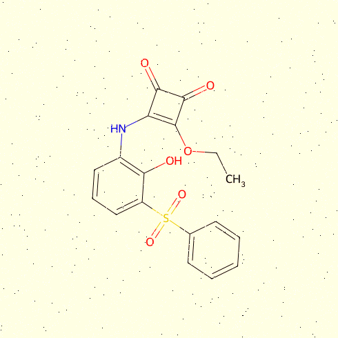 CCOc1c(Nc2cccc(S(=O)(=O)c3ccccc3)c2O)c(=O)c1=O